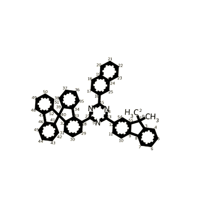 CC1(C)c2ccccc2-c2ccc(-c3nc(-c4ccc5ccccc5c4)nc(-c4cccc5c4-c4ccccc4C54c5ccccc5-c5ccccc54)n3)cc21